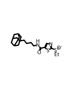 CC[S+]([O-])c1ncc(C(=O)NCCCCC23CC4CC(CC(C4)C2)C3)s1